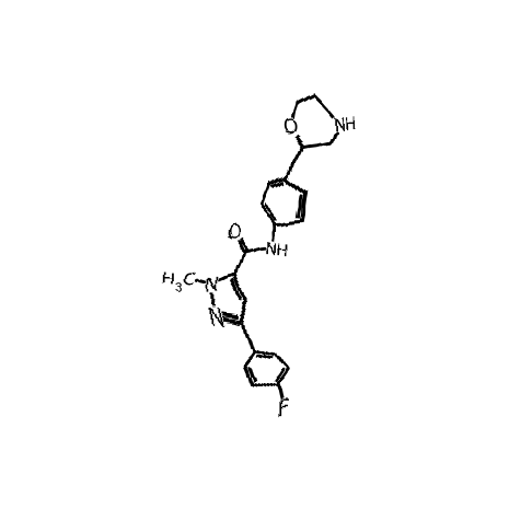 Cn1nc(-c2ccc(F)cc2)cc1C(=O)Nc1ccc(C2CNCCO2)cc1